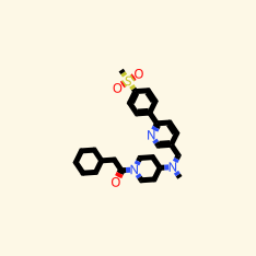 CN(Cc1ccc(-c2ccc(S(C)(=O)=O)cc2)nc1)C1CCN(C(=O)CC2CCCCC2)CC1